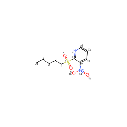 CCCCCS(=O)(=O)c1ncccc1[N+](=O)[O-]